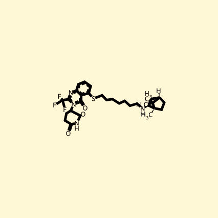 CC1(C)[C@@H]2CC[C@@]1(C)[C@@H](NCCCCCCCSc1cccc3nc(C(F)(F)F)n(C4CCC(=O)NC4=O)c(=O)c13)C2